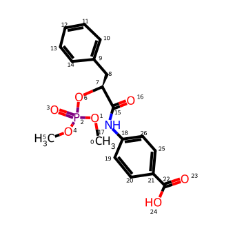 COP(=O)(OC)O[C@@H](Cc1ccccc1)C(=O)Nc1ccc(C(=O)O)cc1